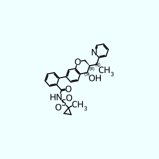 C[C@@H](c1ccccn1)[C@@H]1COc2cc(-c3ccccc3C(=O)NS(=O)(=O)C3(C)CC3)ccc2[C@H]1O